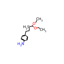 CCOC(OCC)[SiH2]CCc1ccc(N)cc1